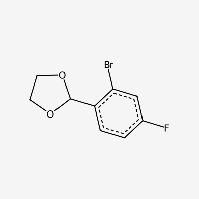 Fc1ccc(C2OCCO2)c(Br)c1